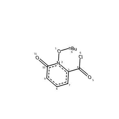 CCCCOn1c(C(=O)Cl)cccc1=O